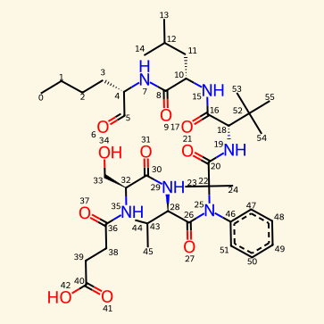 CCCC[C@@H](C=O)NC(=O)[C@H](CC(C)C)NC(=O)[C@@H](NC(=O)C(C)(C)N(C(=O)[C@H](NC(=O)[C@H](CO)NC(=O)CCC(=O)O)C(C)C)c1ccccc1)C(C)(C)C